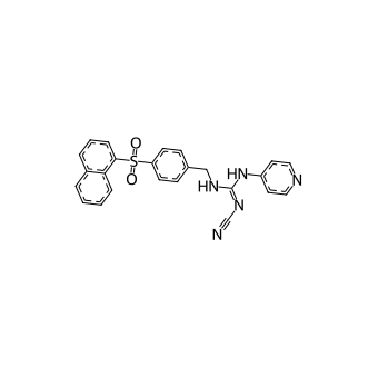 N#C/N=C(\NCc1ccc(S(=O)(=O)c2cccc3ccccc23)cc1)Nc1ccncc1